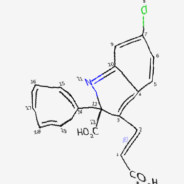 O=C(O)/C=C/C1=c2ccc(Cl)cc2=NC1(C(=O)O)c1ccccc1